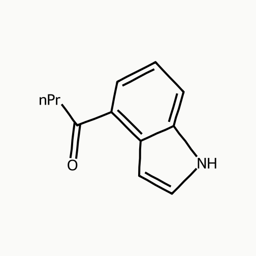 [CH2]CCC(=O)c1cccc2[nH]ccc12